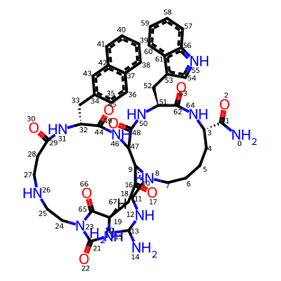 NC(=O)[C@@H]1CCCCN[C@@]2(CCNC(N)N)C(=O)C[C@@H]3NC(=O)N(CCNCCC(=O)N[C@H](Cc4ccc5ccccc5c4)C(=O)NC2C(=O)N[C@@H](Cc2c[nH]c4ccccc24)C(=O)N1)C3=O